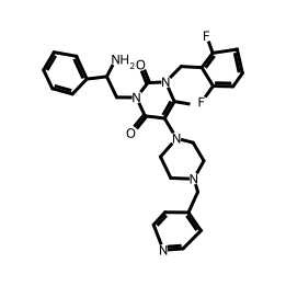 Cc1c(N2CCN(Cc3ccncc3)CC2)c(=O)n(CC(N)c2ccccc2)c(=O)n1Cc1c(F)cccc1F